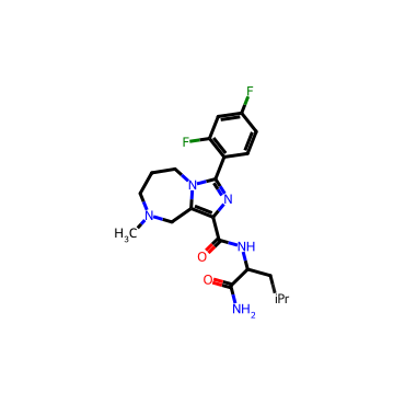 CC(C)CC(NC(=O)c1nc(-c2ccc(F)cc2F)n2c1CN(C)CCC2)C(N)=O